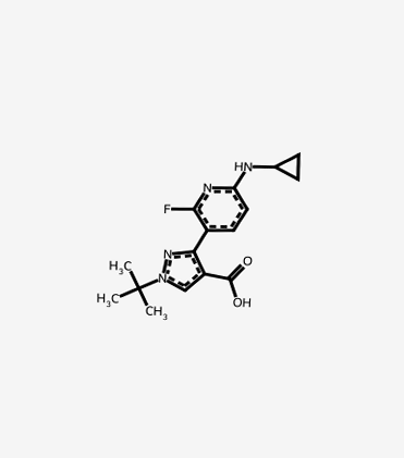 CC(C)(C)n1cc(C(=O)O)c(-c2ccc(NC3CC3)nc2F)n1